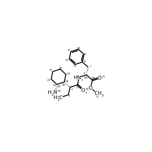 CCC(C(=O)N[C@H](Cc1ccccc1)C(=O)OC)[C@H]1CCCC[C@H]1N